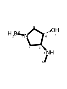 BN1C[C@H](NC)[C@@H](O)C1